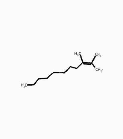 [CH2]C(C)=C(C)CCCCCCCC